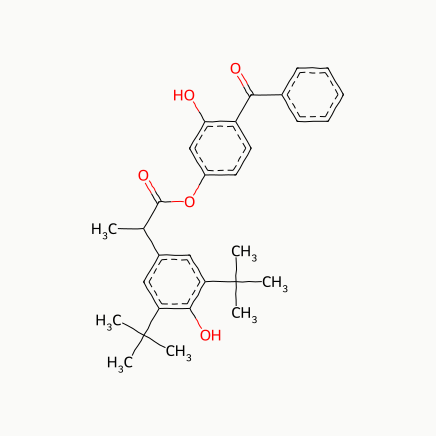 CC(C(=O)Oc1ccc(C(=O)c2ccccc2)c(O)c1)c1cc(C(C)(C)C)c(O)c(C(C)(C)C)c1